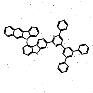 c1ccc(-c2cc(-c3ccccc3)cc(-c3cc(-c4ccccc4)nc(-c4ccc5c(c4)sc4cccc(-n6c7ccccc7c7cc8ccccc8cc76)c45)n3)c2)cc1